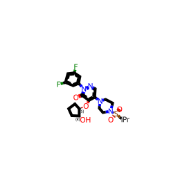 CC(C)S(=O)(=O)N1CCN(c2cnn(-c3cc(F)cc(F)c3)c(=O)c2O[C@H]2CCC[C@H]2O)CC1